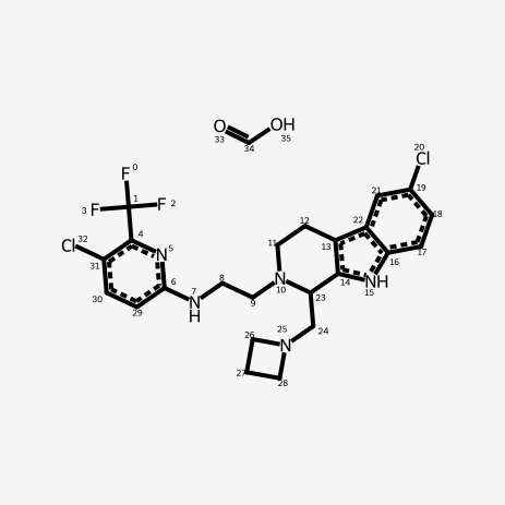 FC(F)(F)c1nc(NCCN2CCc3c([nH]c4ccc(Cl)cc34)C2CN2CCC2)ccc1Cl.O=CO